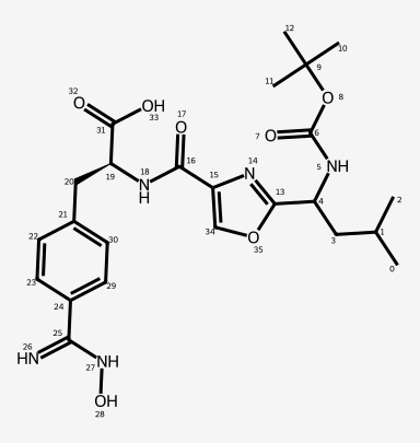 CC(C)CC(NC(=O)OC(C)(C)C)c1nc(C(=O)N[C@@H](Cc2ccc(C(=N)NO)cc2)C(=O)O)co1